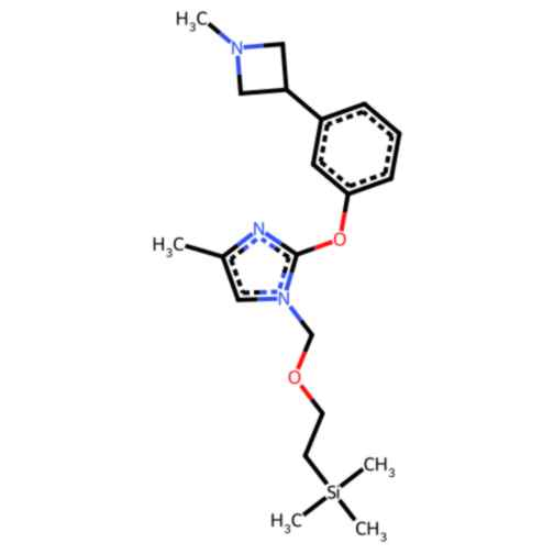 Cc1cn(COCC[Si](C)(C)C)c(Oc2cccc(C3CN(C)C3)c2)n1